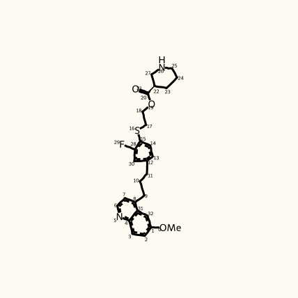 COc1ccc2nccc(CCCc3ccc(SCCOC(=O)[C@@H]4CCCNC4)c(F)c3)c2c1